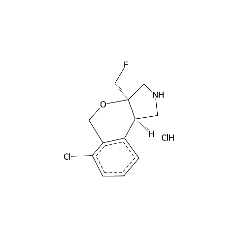 Cl.FC[C@]12CNC[C@H]1c1cccc(Cl)c1CO2